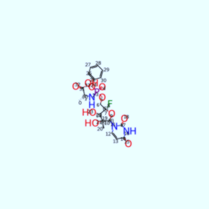 C[C@@H](NP(=O)(OC[C@@]1(F)O[C@@H](n2ccc(=O)[nH]c2=O)[C@](C)(O)[C@@H]1O)Oc1ccccc1)C(=O)O